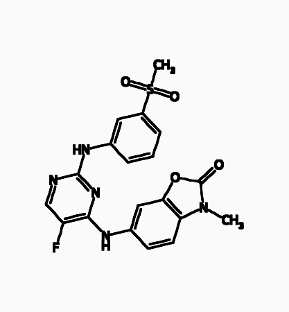 Cn1c(=O)oc2cc(Nc3nc(Nc4cccc(S(C)(=O)=O)c4)ncc3F)ccc21